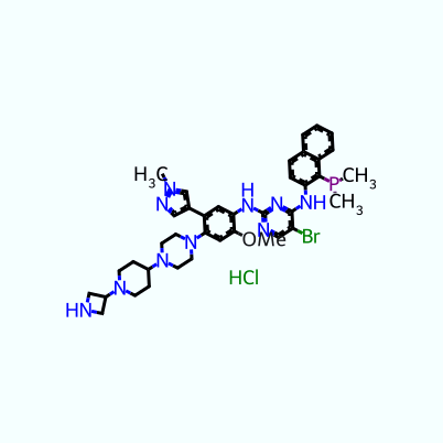 COc1cc(N2CCN(C3CCN(C4CNC4)CC3)CC2)c(-c2cnn(C)c2)cc1Nc1ncc(Br)c(Nc2ccc3ccccc3c2P(C)C)n1.Cl